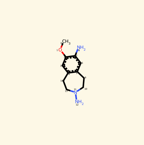 COc1cc2c(cc1N)CCN(N)CC2